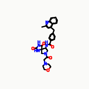 Cc1cc(Cc2ccc(C(=O)NC3CN(C(=O)CN4CCOCC4)CC34NC(=O)NC4=O)cc2)c2ccccc2n1